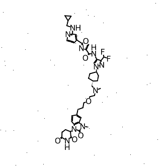 CN(CCOCCCc1ccc2c(c1)n(C)c(=O)n2C1CCC(=O)NC1=O)C[C@H]1CC[C@H](n2cc(NC(=O)c3coc(-c4ccnc(NCC5CC5)c4)n3)c(C(F)F)n2)CC1